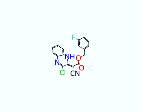 N#CC(C(=O)OCc1cccc(F)c1)=C1Nc2ccccc2N=C1Cl